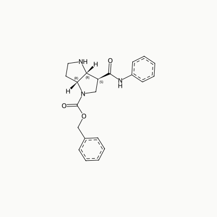 O=C(Nc1ccccc1)[C@H]1CN(C(=O)OCc2ccccc2)[C@@H]2CCN[C@H]12